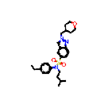 CCc1ccc(N(CCC(C)C)S(=O)(=O)c2ccc3nn(CC4CCOCC4)cc3c2)cc1